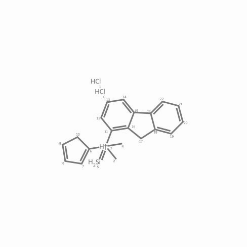 Cl.Cl.[CH3][Hf]([CH3])(=[SiH2])([C]1=CC=CC1)[c]1cccc2c1Cc1ccccc1-2